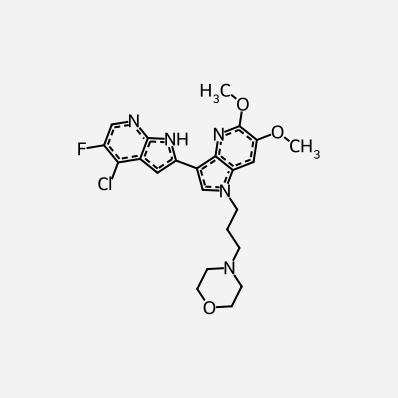 COc1cc2c(nc1OC)c(-c1cc3c(Cl)c(F)cnc3[nH]1)cn2CCCN1CCOCC1